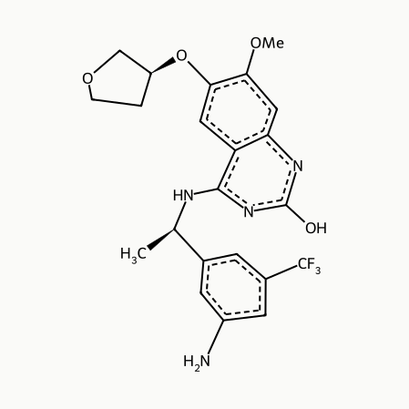 COc1cc2nc(O)nc(N[C@H](C)c3cc(N)cc(C(F)(F)F)c3)c2cc1O[C@H]1CCOC1